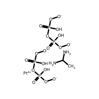 CC(N)N.O=P(O)(O[O-])OP(=O)(O)O[O-].O=P(O)(O[O-])OP(=O)(O)O[O-].[Pt+4]